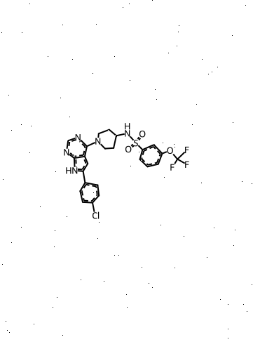 O=S(=O)(NC1CCN(c2ncnc3[nH]c(-c4ccc(Cl)cc4)cc23)CC1)c1cccc(OC(F)(F)F)c1